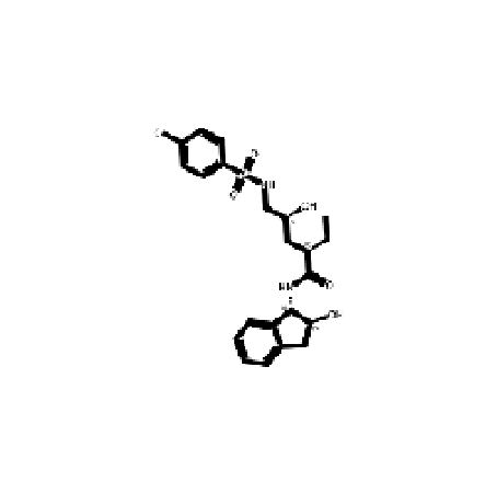 CC[C@H](C[C@H](O)CNS(=O)(=O)c1ccc(Cl)cc1)C(=O)N[C@H]1c2ccccc2C[C@@H]1O